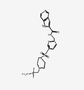 CC(F)(F)CN1CCC(S(=O)(=O)c2ccc(CNC(=O)c3cc4cnccc4[nH]3)nc2)CC1